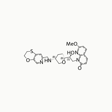 COc1ccc2ccc(=O)n(C[C@H](O)[C@H]3CC[C@@H](NCc4cc5c(cn4)OCCS5)CO3)c2n1